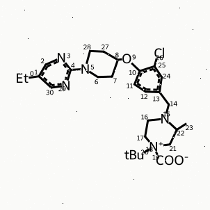 CCc1cnc(N2CCC(Oc3ccc(CN4CC[N+](C(=O)[O-])(C(C)(C)C)CC4C)cc3Cl)CC2)nc1